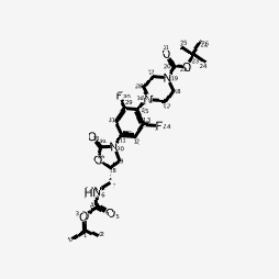 CC(C)OC(=O)NC[C@H]1CN(c2cc(F)c(N3CCN(C(=O)OC(C)(C)C)CC3)c(F)c2)C(=O)O1